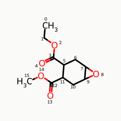 CCOC(=O)C1CC2OC2CC1C(=O)OC